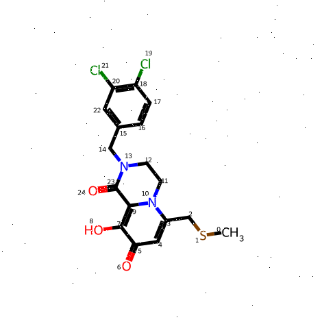 CSCc1cc(=O)c(O)c2n1CCN(Cc1ccc(Cl)c(Cl)c1)C2=O